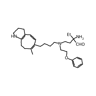 CCC(N)(C=O)CCN(CCCCC1=C(\C)CCC2=C(/C=C\1)CCCN2)CCOc1ccccc1